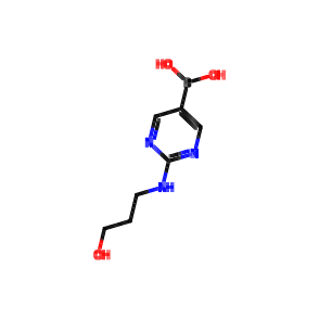 OCCCNc1ncc(B(O)O)cn1